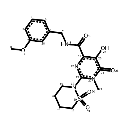 COc1cccc(CNC(=O)c2nc(N3CCCCS3(=O)=O)n(C)c(=O)c2O)c1